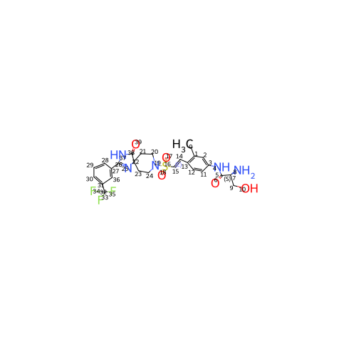 Cc1cc(NC(=O)[C@@H](N)CO)ccc1/C=C/S(=O)(=O)N1CCC2(CC1)N=C(c1cccc(C(F)(F)F)c1)NC2=O